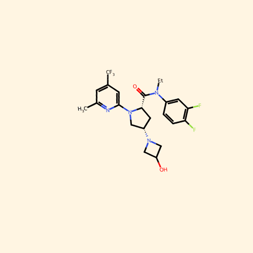 CCN(C(=O)[C@@H]1C[C@H](N2CC(O)C2)CN1c1cc(C(F)(F)F)cc(C)n1)c1ccc(F)c(F)c1